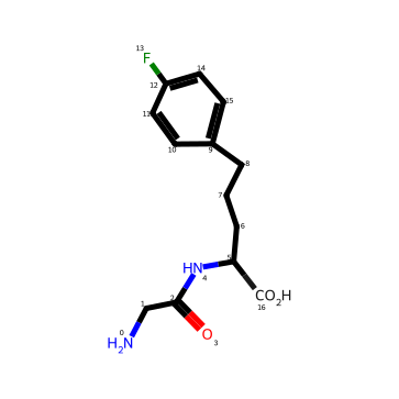 NCC(=O)NC(CCCc1ccc(F)cc1)C(=O)O